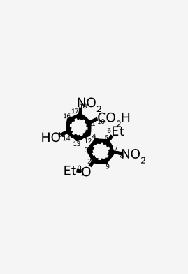 CCOc1ccc(CC)c([N+](=O)[O-])c1.O=C(O)c1ccc(O)cc1[N+](=O)[O-]